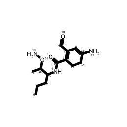 CCCC(NC(=O)C1=C(C=O)C=C(N)CC1)C(C)ON